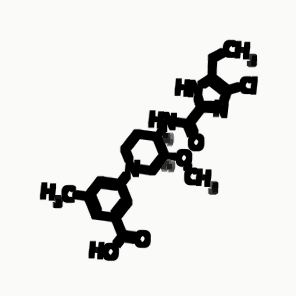 CCc1[nH]c(C(=O)N[C@@H]2CCN(c3cc(C)cc(C(=O)O)c3)C[C@@H]2OC)nc1Cl